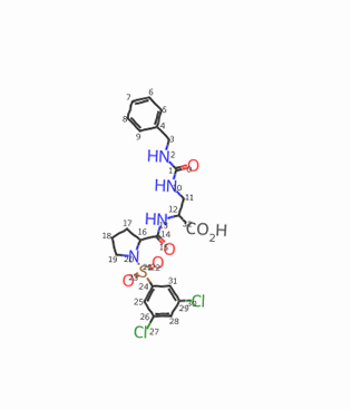 O=C(NCc1ccccc1)NCC(NC(=O)C1CCCN1S(=O)(=O)c1cc(Cl)cc(Cl)c1)C(=O)O